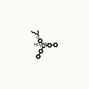 CCCCC(CC)COc1ccc(C2=NC(c3ccc(-c4ccccc4)cc3)=CN(c3ccc(-c4ccccc4)cc3)N2)c(O)c1